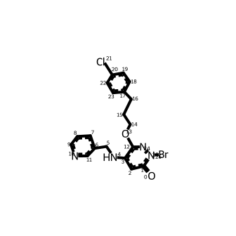 O=c1cc(NCc2cccnc2)c(OCCCc2ccc(Cl)cc2)nn1Br